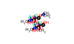 COC(=O)c1c(-c2cccc(O)c2Cl)noc1-c1cnn(C[C@H](C)O)c1C(F)(F)F.COC(=O)c1c(-c2cccc(OCCN(C)C)c2Cl)noc1-c1cnn(C[C@H](C)O)c1C(F)(F)F